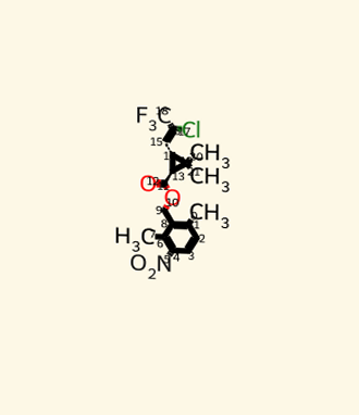 Cc1ccc([N+](=O)[O-])c(C)c1COC(=O)[C@H]1[C@H](C=C(Cl)C(F)(F)F)C1(C)C